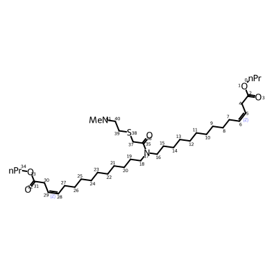 CCCOC(=O)C/C=C\CCCCCCCCCCN(CCCCCCCCCC/C=C\CC(=O)OCCC)C(=O)CSCCNC